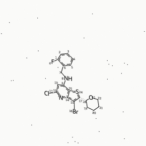 Fc1ccccc1CNc1cc(Cl)nc2c(Br)c([C@H]3CCCCO3)sc12